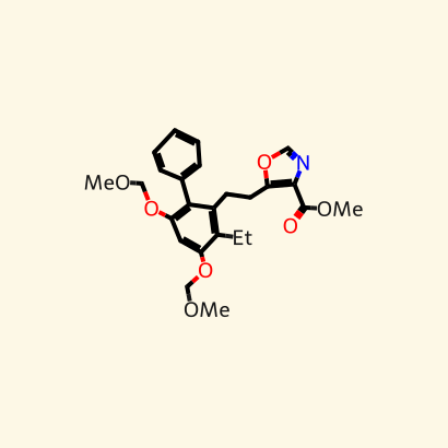 CCc1c(OCOC)cc(OCOC)c(-c2ccccc2)c1CCc1ocnc1C(=O)OC